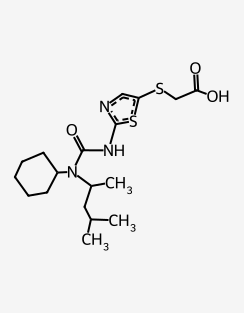 CC(C)CC(C)N(C(=O)Nc1ncc(SCC(=O)O)s1)C1CCCCC1